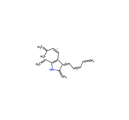 C=C/C=C\C=c1\c(/C=C\C(=C)C)c(C=C)[nH]c1=C